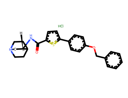 Cl.O=C(N[C@H]1CN2CCC1CC2)c1ccc(-c2ccc(OCc3ccccc3)cc2)s1